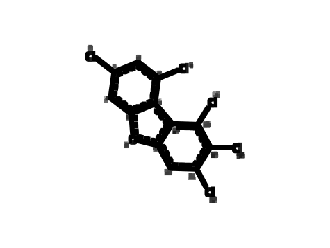 Clc1cc(Cl)c2c(c1)oc1cc(Cl)c(Cl)c(Cl)c12